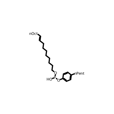 CCCCCCCCC=CCCCCCCCCOP(O)Oc1ccc(CCCCC)cc1